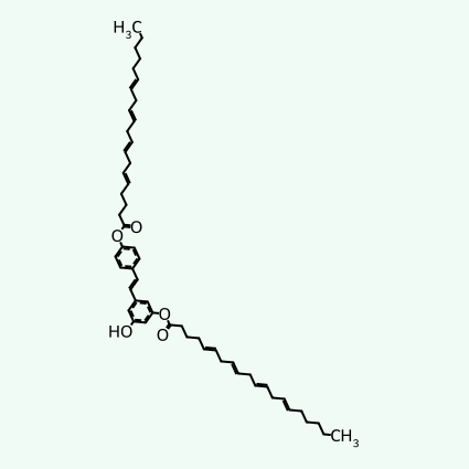 CCCCCC=CCC=CCC=CCC=CCCCC(=O)Oc1ccc(C=Cc2cc(O)cc(OC(=O)CCCC=CCC=CCC=CCC=CCCCCC)c2)cc1